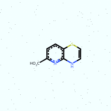 O=C(O)c1ccc2c(n1)NC=CS2